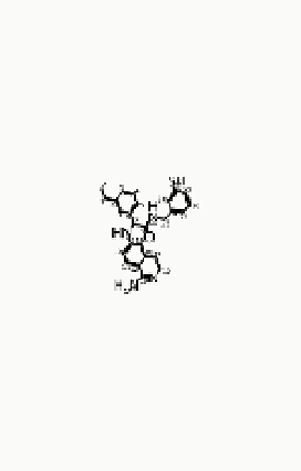 CCc1cccc(C(Nc2ccc3c(N)nccc3c2)C(=O)NCc2cccc(S)c2)c1